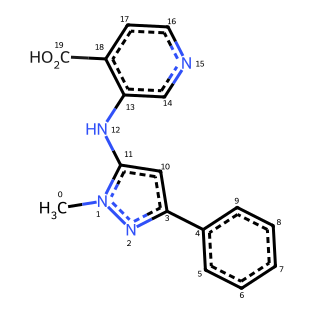 Cn1nc(-c2ccccc2)cc1Nc1cnccc1C(=O)O